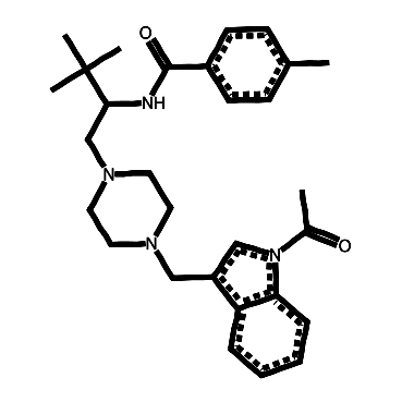 CC(=O)n1cc(CN2CCN(CC(NC(=O)c3ccc(C)cc3)C(C)(C)C)CC2)c2ccccc21